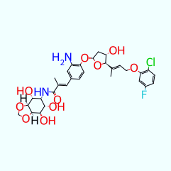 C/C(=C\c1ccc(O[C@H]2C[C@H](O)[C@@H](/C(C)=C/COc3cc(F)ccc3Cl)O2)c(N)c1)C(=O)N[C@@H]1[C@H](O)[C@@H](O)[C@H]2OCO[C@H]2[C@@H]1O